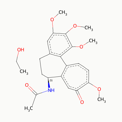 CCO.COc1cc2c(c(OC)c1OC)-c1ccc(OC)c(=O)cc1[C@@H](NC(C)=O)CC2